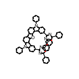 c1ccc(-c2cc(-c3ccccc3)nc(-c3ccc4c(c3)c3c5oc6c(ccc7c6c6cc(-c8nc(-c9ccccc9)cc(-c9ccccc9)n8)ccc6n7-c6ccccc6)c5ccc3n4-c3ccccc3)n2)cc1